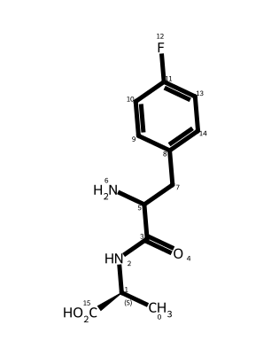 C[C@H](NC(=O)C(N)Cc1ccc(F)cc1)C(=O)O